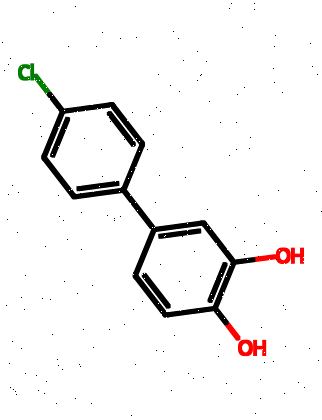 Oc1ccc(-c2ccc(Cl)cc2)cc1O